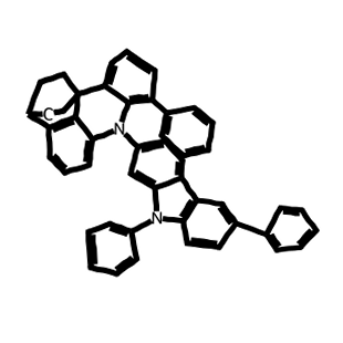 c1ccc(-c2ccc3c(c2)c2ccc(N4c5cccc6c5C5(CCC6CC5)c5cccc(-c6ccccc6)c54)cc2n3-c2ccccc2)cc1